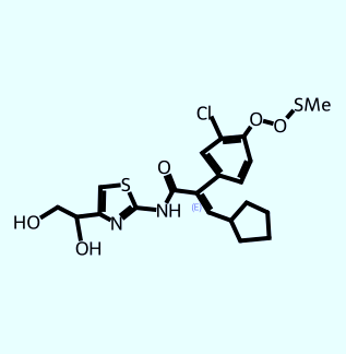 CSOOc1ccc(/C(=C\C2CCCC2)C(=O)Nc2nc(C(O)CO)cs2)cc1Cl